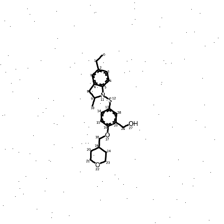 CCc1ccc2c(c1)CC(C)N2Sc1ccc(OCC2CCOCC2)c(CO)c1